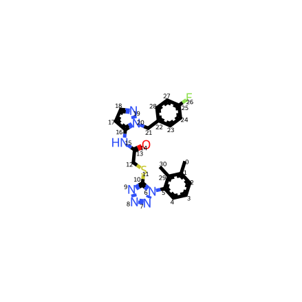 Cc1cccc(-n2nnnc2SCC(=O)Nc2ccnn2Cc2ccc(F)cc2)c1C